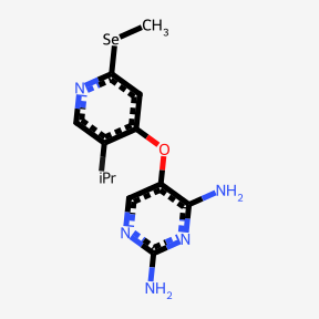 C[Se]c1cc(Oc2cnc(N)nc2N)c(C(C)C)cn1